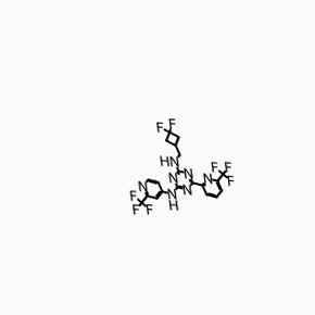 FC1(F)CC(CNc2nc(Nc3ccnc(C(F)(F)F)c3)nc(-c3cccc(C(F)(F)F)n3)n2)C1